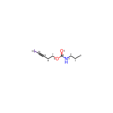 CCCNC(=O)OCCC#CI